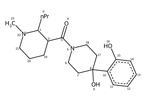 CCCC1C(C(=O)N2CCC(O)(c3ccccc3O)CC2)CCCN1C